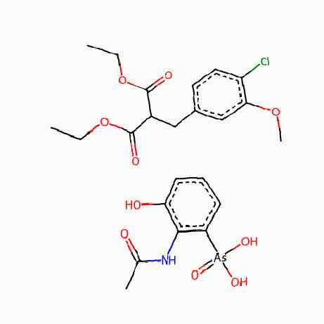 CC(=O)Nc1c(O)cccc1[As](=O)(O)O.CCOC(=O)C(Cc1ccc(Cl)c(OC)c1)C(=O)OCC